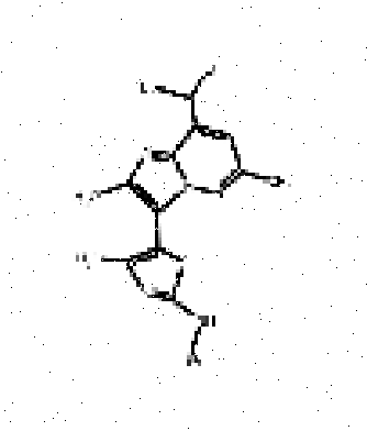 CCC(CC)c1cc(C)nn2c(-c3sc(NC(C)C)nc3C)c(C)nc12